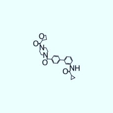 O=C(Nc1cccc(-c2ccc(C(=O)N3CCN(C(=O)C4CCO4)CC3)cc2)c1)C1CC1